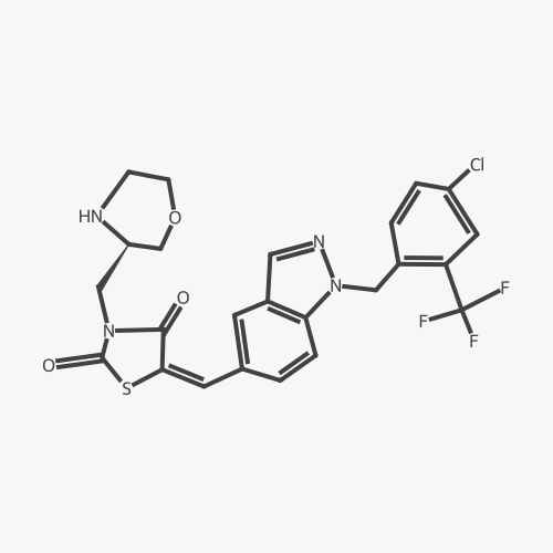 O=C1SC(=Cc2ccc3c(cnn3Cc3ccc(Cl)cc3C(F)(F)F)c2)C(=O)N1C[C@@H]1COCCN1